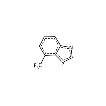 FC(F)(F)c1cccc2n[c]sc12